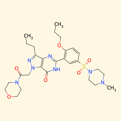 CCCOc1ccc(S(=O)(=O)N2CCN(C)CC2)cc1-c1nc2c(CCC)nn(CC(=O)N3CCOCC3)c2c(=O)[nH]1